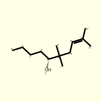 CCCC[C@@H](O)C(C)(C)CC=C(C)C